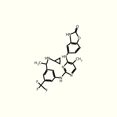 Cc1cnc(Nc2cc(C(C)NC3CC3)cc(C(F)(F)F)c2)nc1Nc1ccc2oc(=O)[nH]c2c1